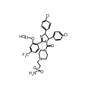 CCOc1cc(C(F)(F)F)ccc1C1=NC(c2ccc(Cl)cc2)C(c2ccc(Cl)cc2)N1C(=O)N1CCN(CCS(N)(=O)=O)CC1.Cl